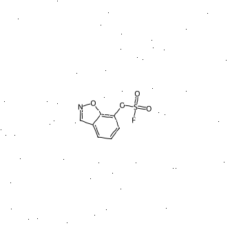 O=S(=O)(F)Oc1cccc2cnoc12